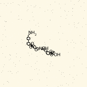 NCCc1ccc(-c2cccc(S(=O)(=O)N3CCC4(CC3)CC(NCC(O)COc3cccc(S(=O)(=O)C5(CO)CC5)c3)CO4)c2)cc1